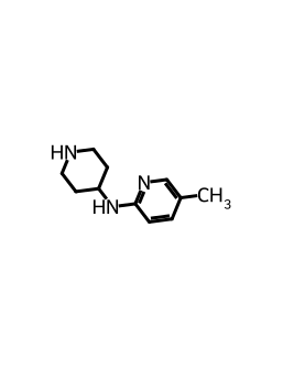 Cc1ccc(NC2CCNCC2)nc1